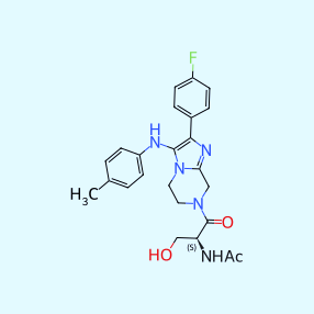 CC(=O)N[C@@H](CO)C(=O)N1CCn2c(nc(-c3ccc(F)cc3)c2Nc2ccc(C)cc2)C1